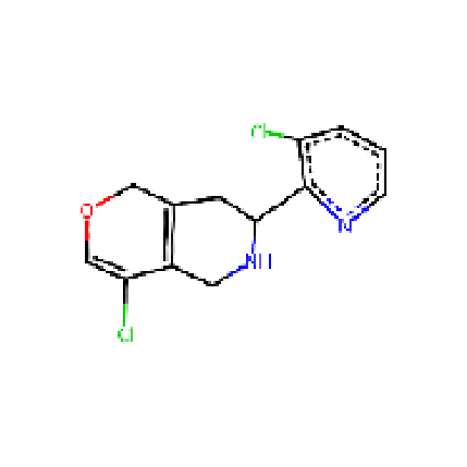 ClC1=COCC2=C1CNC(c1ncccc1Cl)C2